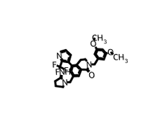 COc1cc(CN2CCc3c(cc(CN4CCCC4=N)cc3-c3cccnc3C(F)(F)F)C2=O)cc(OC)c1